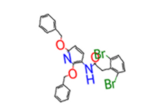 O=C(Cc1c(Br)cccc1Br)Nc1ccc(OCc2ccccc2)nc1OCc1ccccc1